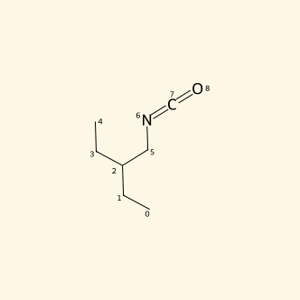 CCC(CC)CN=C=O